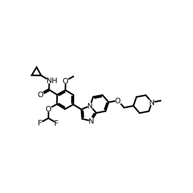 COc1cc(-c2cnc3cc(OCC4CCN(C)CC4)ccn23)cc(OC(F)F)c1C(=O)NC1CC1